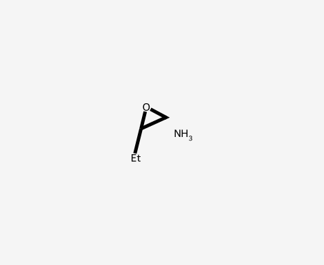 CCC1CO1.N